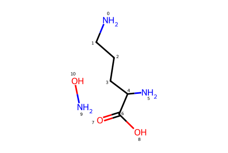 NCCCC(N)C(=O)O.NO